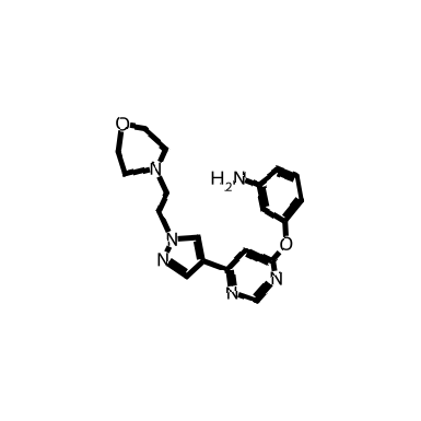 Nc1cccc(Oc2cc(-c3cnn(CCN4CCOCC4)c3)ncn2)c1